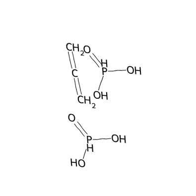 C=C=C.O=[PH](O)O.O=[PH](O)O